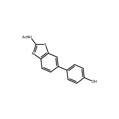 CC(=O)Nc1nc2ccc(-c3ccc(O)cc3)cc2s1